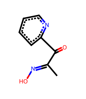 CC(=NO)C(=O)c1ccccn1